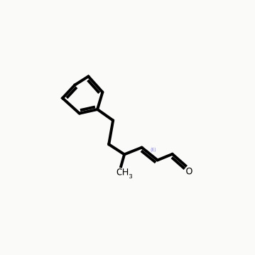 CC(/C=C/C=O)CCc1ccccc1